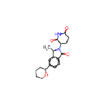 CC1c2cc(C3CCCCO3)ccc2C(=O)N1C1CCC(=O)NC1=O